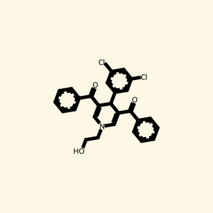 O=C(C1=CN(CCO)C=C(C(=O)c2ccccc2)C1c1cc(Cl)cc(Cl)c1)c1ccccc1